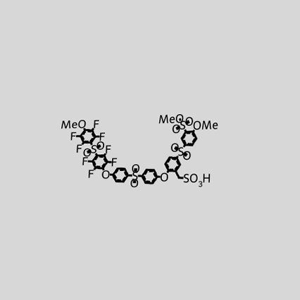 COc1ccc(S(=O)(=O)c2ccc(Oc3ccc(S(=O)(=O)c4ccc(Oc5c(F)c(F)c(S(=O)(=O)c6c(F)c(F)c(OC)c(F)c6F)c(F)c5F)cc4)cc3)c(CS(=O)(=O)O)c2)cc1S(=O)(=O)OC